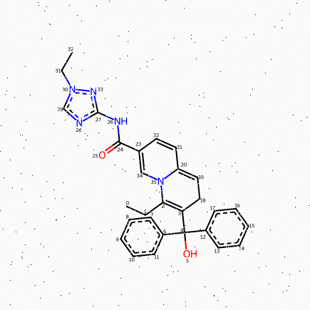 CCC1=C(C(O)(c2ccccc2)c2ccccc2)CC=C2C=CC(C(=O)Nc3ncn(CC)n3)=CN21